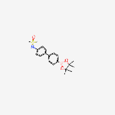 CC1(C)OB(c2ccc(-c3ccc(N=S(C)(C)=O)cc3)cc2)OC1(C)C